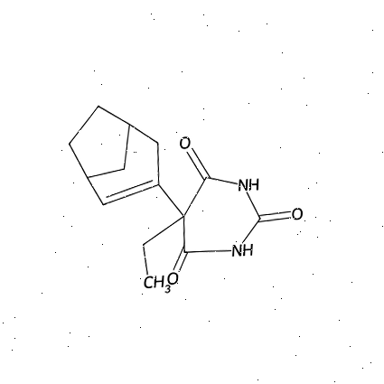 CCC1(C2=CC3CCC(C2)C3)C(=O)NC(=O)NC1=O